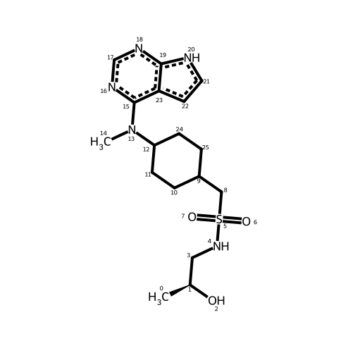 C[C@H](O)CNS(=O)(=O)CC1CCC(N(C)c2ncnc3[nH]ccc23)CC1